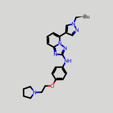 CC[C@H](C)Cn1cc(-c2cccc3nc(Nc4ccc(OCCN5CCCC5)cc4)nn23)cn1